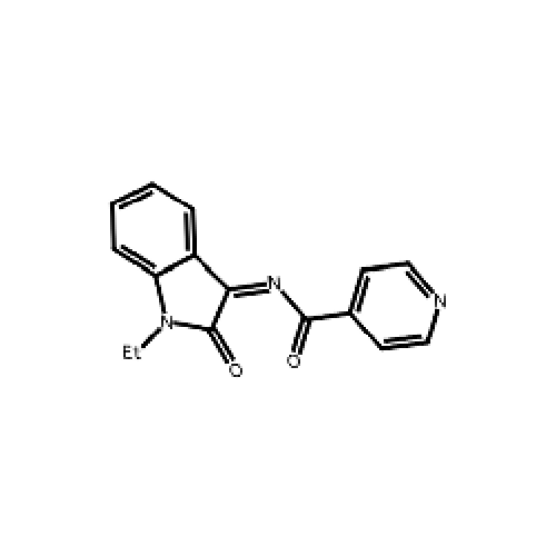 CCN1C(=O)C(=NC(=O)c2ccncc2)c2ccccc21